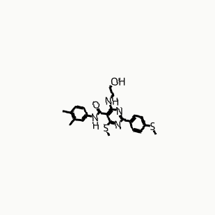 CSc1ccc(-c2nc(NCCO)c(C(=O)Nc3ccc(C)c(C)c3)c(SC)n2)cc1